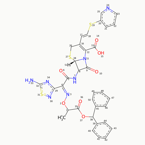 CC(ON=C(C(=O)NC1C(=O)N2C(C(=O)O)=C(C=CSc3cccnc3)CS[C@@H]12)c1nsc(N)n1)C(=O)OC(c1ccccc1)c1ccccc1